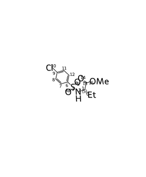 CC[C@H](NS(=O)(=O)c1ccc(Cl)cc1)C(=O)OC